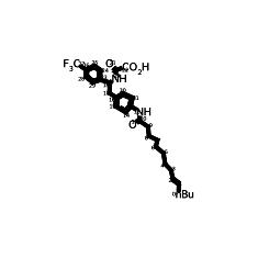 CCCC/C=C/CCCCCCCC(=O)Nc1ccc(CC(NC(=O)C(=O)O)c2ccc(C(F)(F)F)cc2)cc1